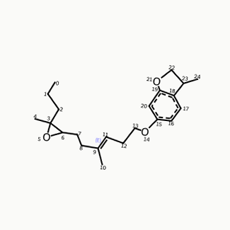 CCCC1(C)OC1CC/C(C)=C/CCOc1ccc2c(c1)OCC2C